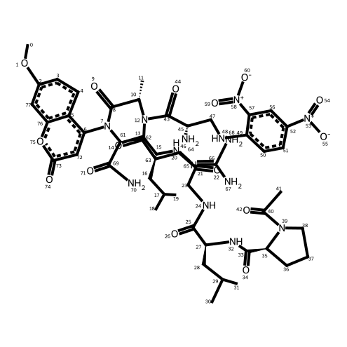 COc1ccc2c(N(C(=O)[C@H](C)N(C(=O)[C@H](CC(C)C)NC(=O)CNC(=O)[C@H](CC(C)C)NC(=O)[C@@H]3CCCN3C(C)=O)C(=O)[C@@H](N)CNc3ccc([N+](=O)[O-])cc3[N+](=O)[O-])[C@@H](CCCN=C(N)N)C(N)=O)cc(=O)oc2c1